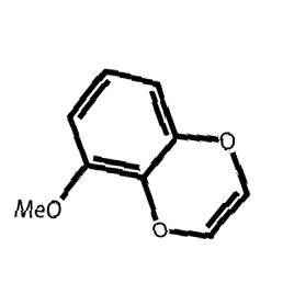 COc1cccc2c1OC=CO2